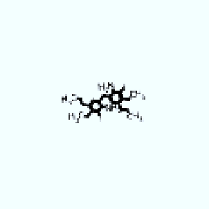 CCCc1cc(Cc2cc(CCC)c(CC)c(I)c2N)c(N)c(I)c1CC